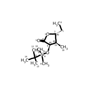 CC[C@H]1OC(=O)[C@H](O[Si](C)(C)C(C)(C)C)[C@@H]1C